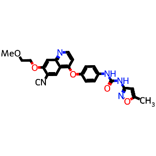 [C-]#[N+]c1cc2c(Oc3ccc(NC(=O)Nc4cc(C)on4)cc3)ccnc2cc1OCCOC